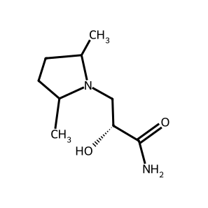 CC1CCC(C)N1C[C@@H](O)C(N)=O